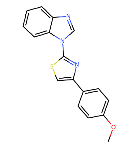 COc1ccc(-c2csc(-n3cnc4ccccc43)n2)cc1